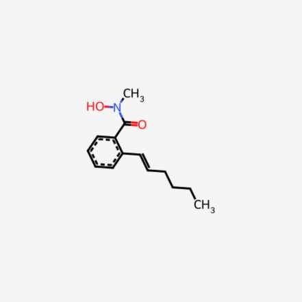 CCCCC=Cc1ccccc1C(=O)N(C)O